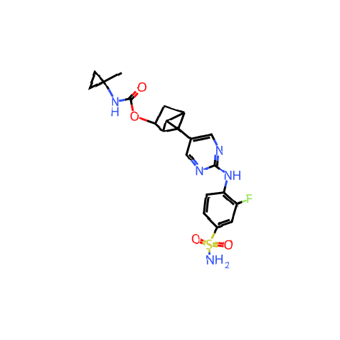 CC1(NC(=O)OC2CC3C4C2C34c2cnc(Nc3ccc(S(N)(=O)=O)cc3F)nc2)CC1